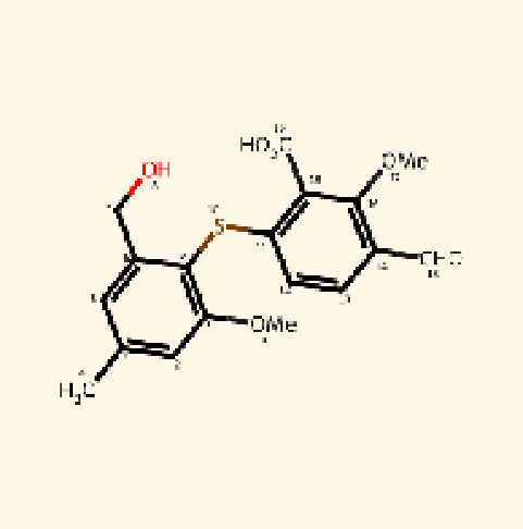 COc1cc(C)cc(CO)c1Sc1ccc(C=O)c(OC)c1C(=O)O